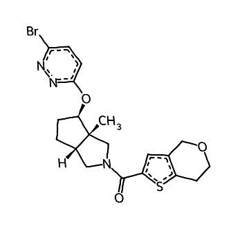 C[C@@]12CN(C(=O)c3cc4c(s3)CCOC4)C[C@@H]1CC[C@H]2Oc1ccc(Br)nn1